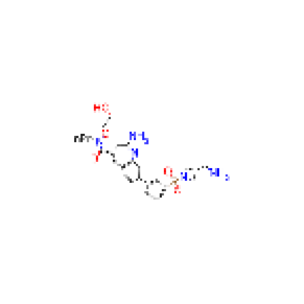 CCCN(OCCO)C(=O)C1=Cc2ccc(-c3cccc(S(=O)(=O)N4CC(CN)C4)c3)cc2N=C(N)C1